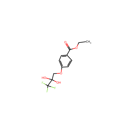 CCOC(=O)c1ccc(OCC(O)(O)C(F)(F)F)cc1